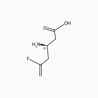 C=C(F)C[C@@H](N)CC(=O)O